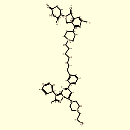 Cc1nn2c(N3CCN(CCO)CC3)cc(-c3cccc(CCCCCCCN4CCC(c5cc(F)cc6c5CN(C5CCC(=O)NC5=O)C6=O)CC4)c3)nc2c1-c1ccccc1